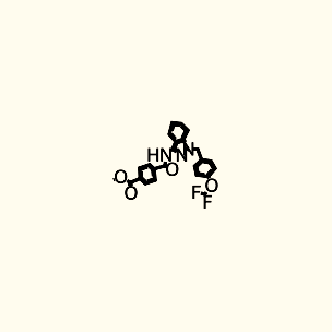 COC(=O)c1ccc(C(=O)Nc2nn(Cc3ccc(OC(F)F)cc3)c3ccccc23)cc1